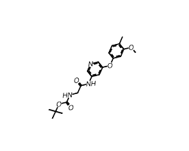 COc1cc(Oc2cncc(NC(=O)CNC(=O)OC(C)(C)C)c2)ccc1C